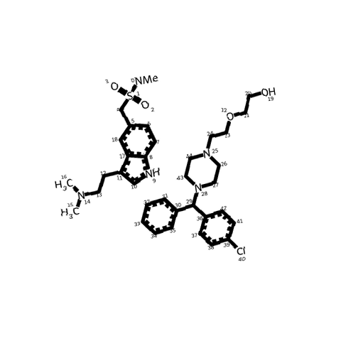 CNS(=O)(=O)Cc1ccc2[nH]cc(CCN(C)C)c2c1.OCCOCCN1CCN(C(c2ccccc2)c2ccc(Cl)cc2)CC1